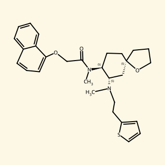 CN(CCc1cccs1)[C@H]1C[C@@]2(CCCO2)CC[C@@H]1N(C)C(=O)COc1cccc2ccccc12